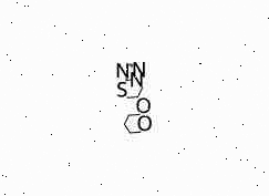 c1nc2n(n1)CC(OC1CCCCO1)CS2